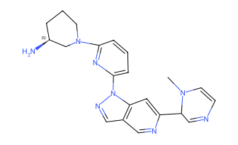 CN1C=CN=CC1c1cc2c(cn1)cnn2-c1cccc(N2CCC[C@H](N)C2)n1